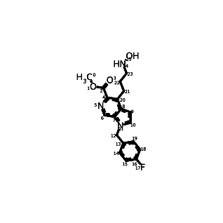 COC(=O)c1ncc2c(ccn2Cc2ccc(F)cc2)c1CCCNO